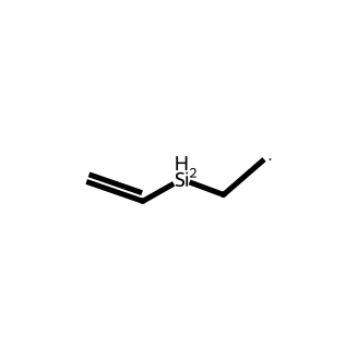 [CH2]C[SiH2]C=C